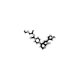 CCOCC(C)OC(=O)N1CCN(c2ccnc3[nH]c(-c4cnn(C)c4)cc23)CC1